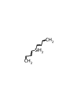 C=C/C=C/[SiH2]/C=C/C=C